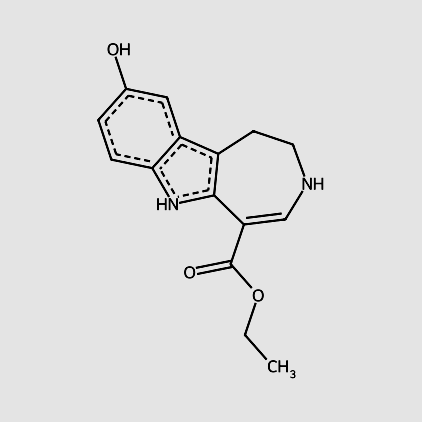 CCOC(=O)C1=CNCCc2c1[nH]c1ccc(O)cc21